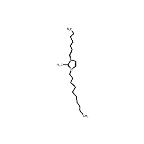 CCCCCCCCCCN1C=CN(CCCCCCC)C1C